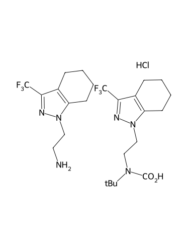 CC(C)(C)N(CCn1nc(C(F)(F)F)c2c1CCCC2)C(=O)O.Cl.NCCn1nc(C(F)(F)F)c2c1CCCC2